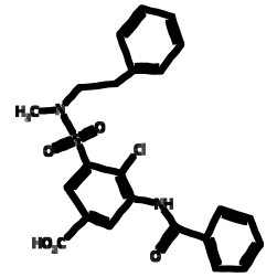 CN(CCc1ccccc1)S(=O)(=O)c1cc(C(=O)O)cc(NC(=O)c2ccccc2)c1Cl